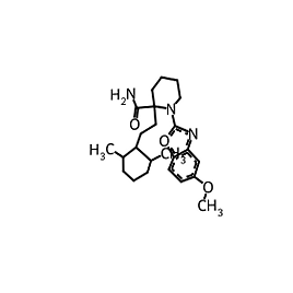 COc1ccc2oc(N3CCCCC3(CCC3C(C)CCCC3C)C(N)=O)nc2c1